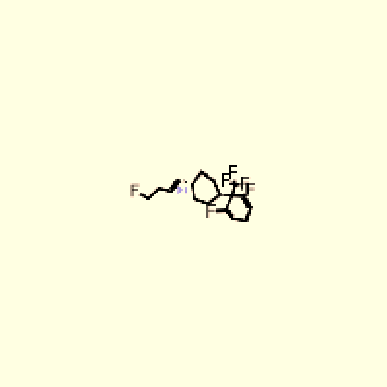 FCC/C=C/[C@H]1CC[C@H](C2(C(F)(F)F)C(F)=CCC=C2F)CC1